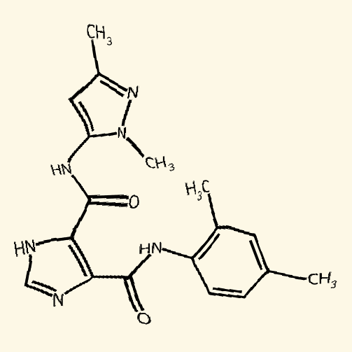 Cc1ccc(NC(=O)c2nc[nH]c2C(=O)Nc2cc(C)nn2C)c(C)c1